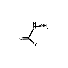 NN[C](=O)[Y]